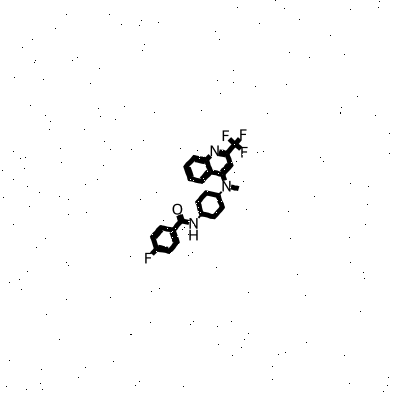 CN(c1cc(C(F)(F)F)nc2ccccc12)[C@H]1CC[C@@H](NC(=O)c2ccc(F)cc2)CC1